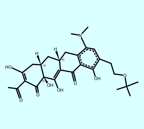 CC(=O)C1=C(O)C[C@@H]2C[C@@H]3Cc4c(N(C)C)cc(CCOC(C)(C)C)c(O)c4C(=O)C3=C(O)[C@]2(O)C1=O